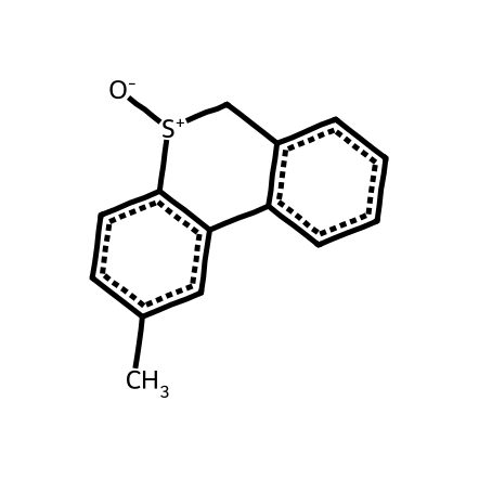 Cc1ccc2c(c1)-c1ccccc1C[S+]2[O-]